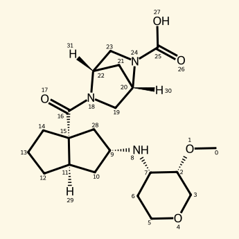 CO[C@@H]1COCC[C@@H]1N[C@@H]1C[C@H]2CCC[C@@]2(C(=O)N2C[C@@H]3C[C@H]2CN3C(=O)O)C1